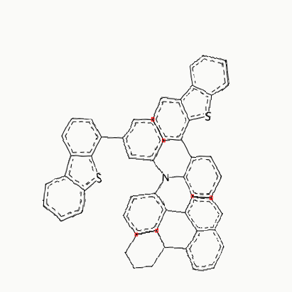 c1cc(-c2cccc3c2sc2ccccc23)cc(N(c2ccccc2-c2cccc3c2sc2ccccc23)c2ccccc2-c2cccc3cccc(C4CCCCC4)c23)c1